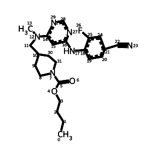 CCCCOC(=O)N1CCC(CN(C)c2cc(Nc3ccc(C#N)cc3F)ncn2)CC1